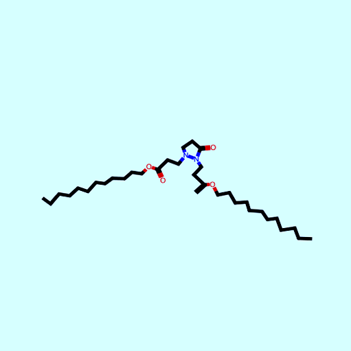 C=C(CCN1C(=O)CCN1CCC(=O)OCCCCCCCCCCCC)OCCCCCCCCCCCC